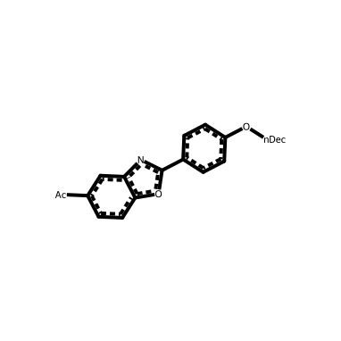 CCCCCCCCCCOc1ccc(-c2nc3cc(C(C)=O)ccc3o2)cc1